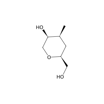 C[C@H]1C[C@@H](CO)OC[C@H]1O